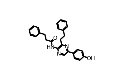 O=C(CCc1ccccc1)Nc1ncc(-c2ccc(O)cc2)nc1CCc1ccccc1